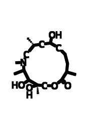 CC1CCCC(O)C[C@@H](C)CN(C)C(C)C(O)[C@](C)(O)COC1=O